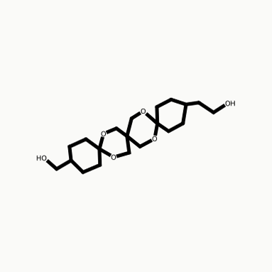 OCCC1CCC2(CC1)OCC1(COC3(CCC(CO)CC3)OC1)CO2